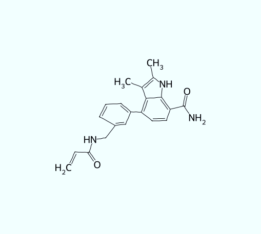 C=CC(=O)NCc1cccc(-c2ccc(C(N)=O)c3[nH]c(C)c(C)c23)c1